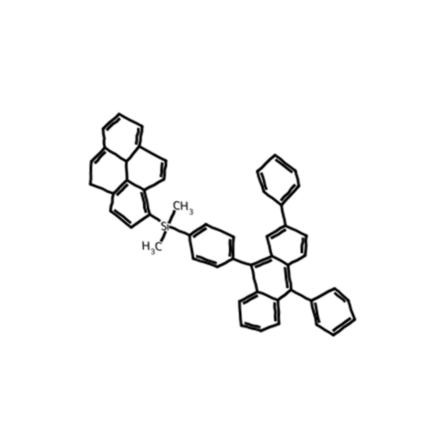 C[Si](C)(c1ccc(-c2c3ccccc3c(-c3ccccc3)c3ccc(-c4ccccc4)cc23)cc1)c1ccc2c3c1C=CC1=CC=CC(=CC2)C13